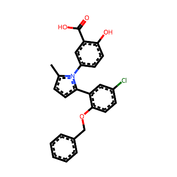 Cc1ccc(-c2cc(Cl)ccc2OCc2ccccc2)n1-c1ccc(O)c(C(=O)O)c1